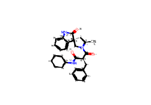 N#C[C@@H]1C[C@@]2(CN1C(=O)[C@@H](Cc1ccccc1)C(=O)NC1CCCCC1)C(=O)Nc1ccccc12